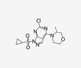 CC1COCCN1c1nc(Cl)nc2c1cnn2S(=O)(=O)C1CC1